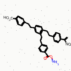 C=C(N=O)c1ccc(CCc2ccc(CCc3ccc(C(=O)O)cc3)cc2CCc2ccc(C(=O)ON)cc2)cc1